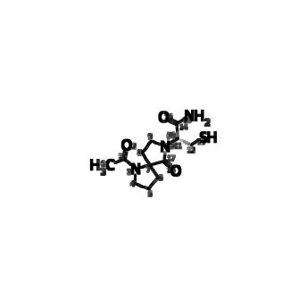 CC(=O)N1CCCC12CCN([C@@H](CS)C(N)=O)C2=O